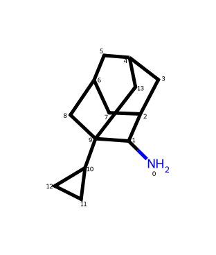 NC1C2CC3CC(C2)CC1(C1CC1)C3